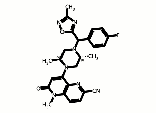 Cc1noc(C(c2ccc(F)cc2)N2C[C@H](C)N(c3cc(=O)n(C)c4ccc(C#N)nc34)C[C@H]2C)n1